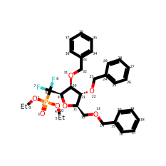 CCOP(=O)(OCC)C(F)(F)[C@@H]1O[C@H](COCc2ccccc2)[C@@H](OCc2ccccc2)[C@@H]1OCc1ccccc1